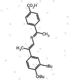 C/C(=C\N=C(/C)c1ccc(C(=O)O)cc1)c1ccc(OCC(C)C)c(C(C)(C)C)c1